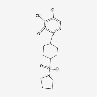 O=c1c(Cl)c(Cl)cnn1C1CCC(S(=O)(=O)N2CCCC2)CC1